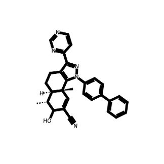 C[C@H]1C(O)C(C#N)=C[C@@]2(C)c3c(c(-c4ccncn4)nn3-c3ccc(-c4ccccc4)cc3)CC[C@H]12